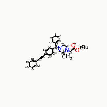 C[C@@H]1CN([C@@H](c2ccccc2)c2ccc(C#Cc3ccccc3)cc2)CCN1CC(=O)OC(C)(C)C